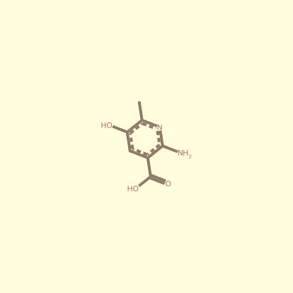 Cc1nc(N)c(C(=O)O)cc1O